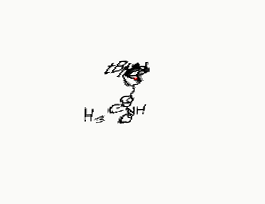 Cc1cc(OCCCC2CCN(c3nc(C(C)(C)C)no3)CC2)ccc1CN[C@H]1CCOC1